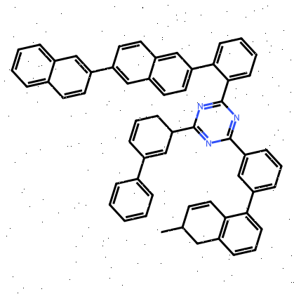 CC1C=Cc2c(cccc2-c2cccc(-c3nc(-c4ccccc4-c4ccc5cc(-c6ccc7ccccc7c6)ccc5c4)nc(C4C=C(c5ccccc5)C=CC4)n3)c2)C1